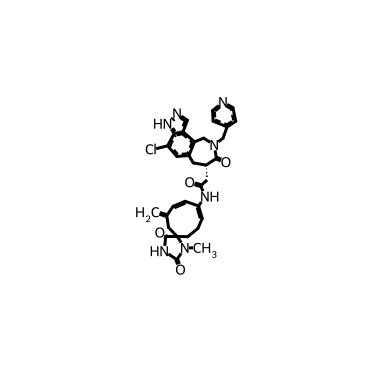 C=C1/C=C\C(NC(=O)C[C@@H]2Cc3cc(Cl)c4[nH]ncc4c3CN(Cc3ccncc3)C2=O)=C/CCC2(C1)C(=O)NC(=O)N2C